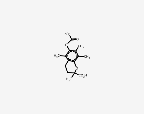 CCCC(=O)Oc1c(C)c(C)c2c(c1C)CCC(C)(C(=O)O)O2